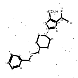 O=C(O)c1sc([C@H]2CC[C@H](COCc3ccccc3)CC2)nc1C(F)F